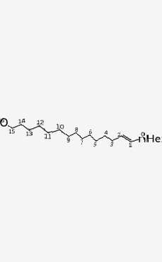 CCCCCCC=CCCCCCCCCCCCCCO